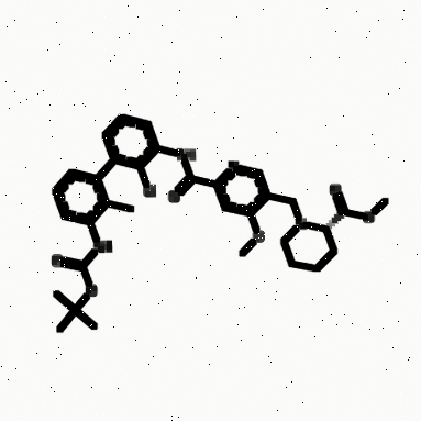 COC(=O)[C@@H]1CCCCN1Cc1cnc(C(=O)Nc2cccc(-c3cccc(NC(=O)OC(C)(C)C)c3C)c2Cl)cc1OC